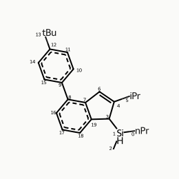 CCC[SiH](C)C1C(C(C)C)=Cc2c(-c3ccc(C(C)(C)C)cc3)cccc21